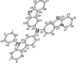 c1ccc(-n2c3ccccc3c3ccc(N(c4ccc5c(c4)sc4ccccc45)c4ccc5sc6ccccc6c5c4)cc32)cc1